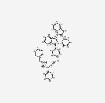 C(#CC(NNCc1ccccc1)c1ccccc1)Cc1ccc(-n2c3ccccc3c3c4c5ccccc5sc4c4ccccc4c32)cc1